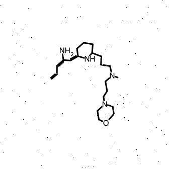 C=C/C=C(N)\C=C1/CCCC(CCCN(C)CCCN2CCOCC2)N1